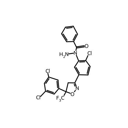 NN(C(=O)c1ccccc1)c1cc(C2=NOC(c3cc(Cl)cc(Cl)c3)(C(F)(F)F)C2)ccc1Cl